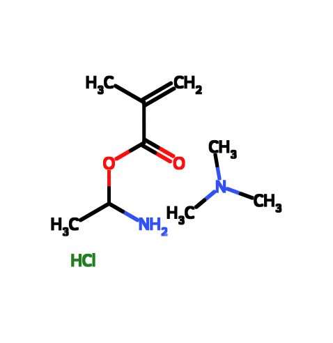 C=C(C)C(=O)OC(C)N.CN(C)C.Cl